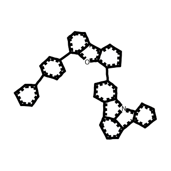 c1ccc(-c2ccc(-c3cccc4c3oc3c(-c5ccc6c7cccc8c9ccccc9n(c6c5)c87)cccc34)cc2)cc1